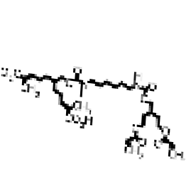 C=CC(=O)OCCC(CCOC(=O)C=C)COC(=O)NCCCCCCNC(=O)OCC(CCC=C(C)C(=O)O)CCC=C(C)C(=O)O